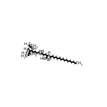 CCCCCCCCCCCCCCCC(=O)NC(CCC(=O)NCCCCC(NC(C)(C)CC)C(=O)C(C)(C)CC)C(=O)O